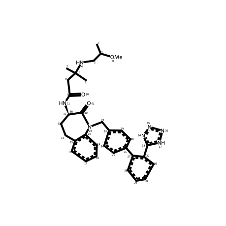 COC(C)CNC(C)(C)CC(=O)N[C@@H]1CCc2ccccc2N(Cc2ccc(-c3ccccc3-c3nnn[nH]3)cc2)C1=O